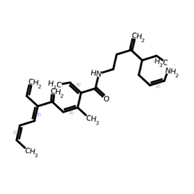 C=C/C(=C\C=C/C)C(=C)/C=C(C)\C(=C/C)C(=O)NCCC(=C)C(CC)C/C=C\N